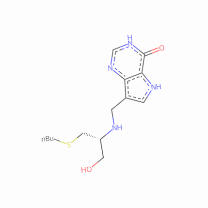 CCCCSC[C@@H](CO)NCc1c[nH]c2c(=O)[nH]cnc12